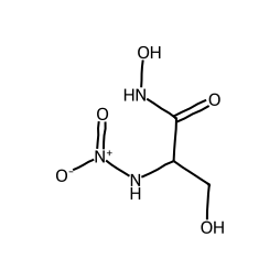 O=C(NO)C(CO)N[N+](=O)[O-]